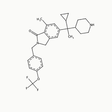 Cc1cc(C(C)(C2CCNCC2)C2CC2)cc2c1C(=O)N(Cc1ccc(OC(F)(F)F)cc1)C2